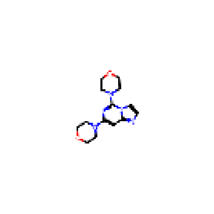 c1cn2c(N3CCOCC3)nc(N3CCOCC3)cc2n1